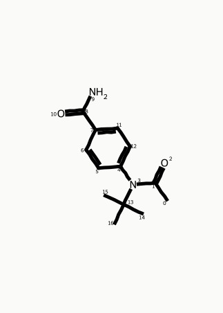 CC(=O)N(c1ccc(C(N)=O)cc1)C(C)(C)C